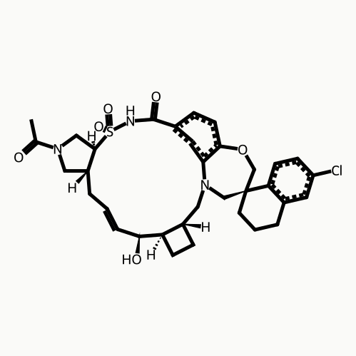 CC(=O)N1C[C@H]2C/C=C/[C@H](O)[C@@H]3CC[C@H]3CN3C[C@@]4(CCCc5cc(Cl)ccc54)COc4ccc(cc43)C(=O)NS(=O)(=O)[C@@H]2C1